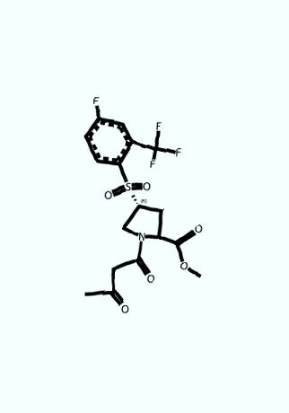 COC(=O)C1C[C@@H](S(=O)(=O)c2ccc(F)cc2C(F)(F)F)CN1C(=O)CC(C)=O